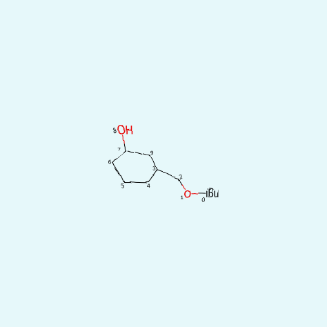 CCC(C)OCC1CCCC(O)C1